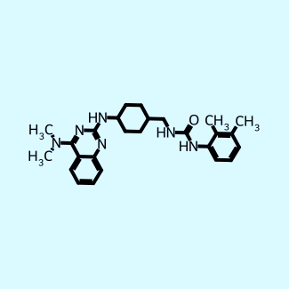 Cc1cccc(NC(=O)NCC2CCC(Nc3nc(N(C)C)c4ccccc4n3)CC2)c1C